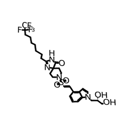 O=C1NC(CCCCCCCC(F)(F)C(F)(F)F)=NC12CCN(S(=O)(=O)/C=C/c1cccc3c1ccn3C[C@H](O)CO)CC2